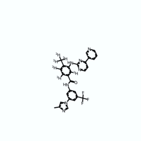 [2H]c1c([2H])c(C([2H])([2H])[2H])c(Nc2nccc(-c3cccnc3)n2)c([2H])c1C(=O)Nc1cc(-n2cnc(C)c2)cc(C(F)(F)F)c1